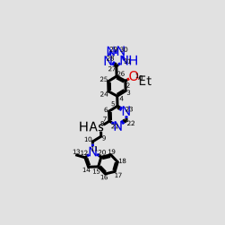 CCOc1cc(-c2cc([AsH]CCn3c(C)cc4ccccc43)ncn2)ccc1-c1nnn[nH]1